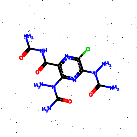 NC(=O)NC(=O)c1nc(Cl)c(N(N)C(N)=O)nc1N(N)C(N)=O